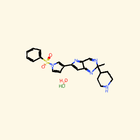 CC1(C2CCNCC2)N=CC2=NC(c3ccn(S(=O)(=O)c4ccccc4)c3)=CC2=N1.Cl.O